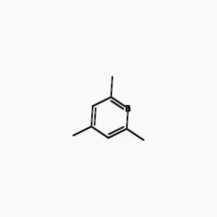 Cc1bc(C)cc(C)c1